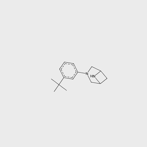 CC(C)(C)c1cccc(N2CC3CC(C2)N3)c1